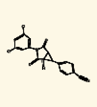 N#Cc1ccc(C2C3C(=O)N(c4cc(Cl)cc(Cl)c4)C(=O)[C@H]32)cc1